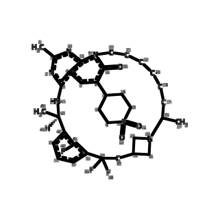 Cc1nc2c3cc(C4CCS(=O)(=O)CC4)c(=O)n(c3n1)CCCCCCC(C)N1CC(C1)CC(F)(F)c1cccc(c1F)[C@@H](C)N2